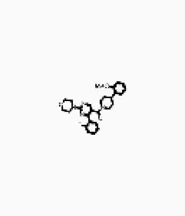 COc1ccccc1C1CCN(C(=O)c2cnc(N3CCOCC3)nc2-c2ccccc2F)CC1